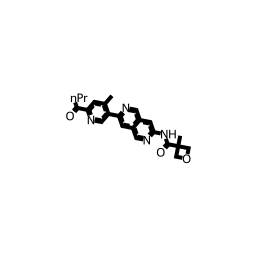 CCCC(=O)c1cc(C)c(-c2cc3cnc(NC(=O)C4(C)COC4)cc3cn2)cn1